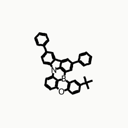 CC(C)(C)c1ccc2c(c1)B1c3c(cccc3-n3c4ccc(-c5ccccc5)cc4c4cc(-c5ccccc5)cc1c43)O2